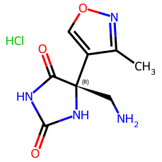 Cc1nocc1[C@]1(CN)NC(=O)NC1=O.Cl